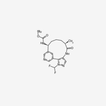 C[C@@H]1CCC[C@H](NC(=O)OC(C)(C)C)c2cncc(c2)-c2c(cnn2C(F)F)NC1=O